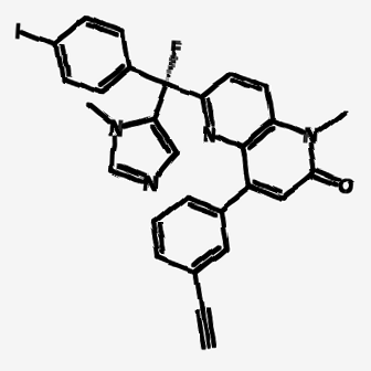 C#Cc1cccc(-c2cc(=O)n(C)c3ccc([C@](F)(c4ccc(I)cc4)c4cncn4C)nc23)c1